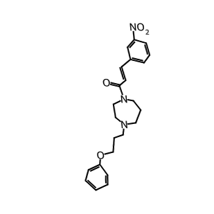 O=C(C=Cc1cccc([N+](=O)[O-])c1)N1CCCN(CCCOc2ccccc2)CC1